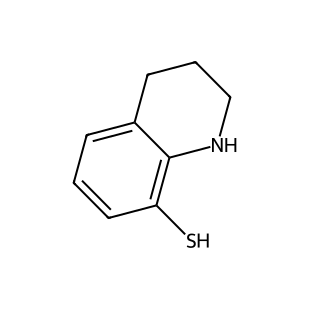 Sc1cccc2c1NCCC2